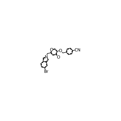 N#Cc1ccc(COc2coc(Cn3cc4ccc(Br)cc4c3)cc2=O)cc1